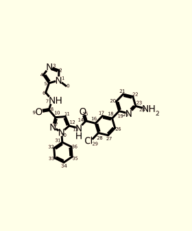 Cn1cncc1CNC(=O)c1cc(NC(=O)c2cc(-c3cccc(N)n3)ccc2Cl)n(-c2ccccc2)n1